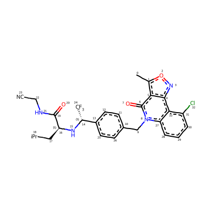 Cc1onc2c1c(=O)n(Cc1ccc([C@H](N[C@@H](CC(C)C)C(=O)NCC#N)C(F)(F)F)cc1)c1cccc(Cl)c21